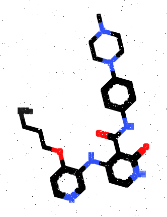 CNCCCOc1ccncc1Nc1cc[nH]c(=O)c1C(=O)Nc1ccc(N2CCN(C)CC2)cc1